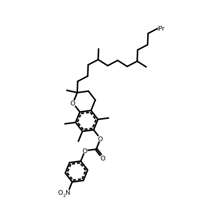 Cc1c(C)c2c(c(C)c1OC(=O)Oc1ccc([N+](=O)[O-])cc1)CCC(C)(CCCC(C)CCCC(C)CCCC(C)C)O2